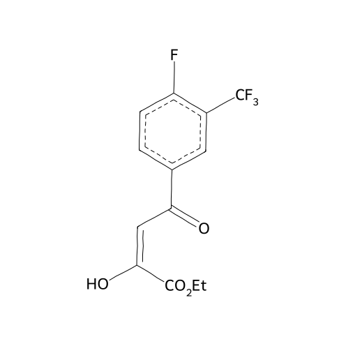 CCOC(=O)/C(O)=C\C(=O)c1ccc(F)c(C(F)(F)F)c1